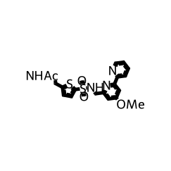 COc1cc(CNS(=O)(=O)c2ccc(CNC(C)=O)s2)nc(-c2ccccn2)c1